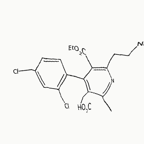 CCOC(=O)c1c(CCN)nc(C)c(C(=O)O)c1-c1ccc(Cl)cc1Cl